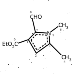 CCOC(=O)c1cc(C)n(C)c1C=O